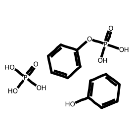 O=P(O)(O)O.O=P(O)(O)Oc1ccccc1.Oc1ccccc1